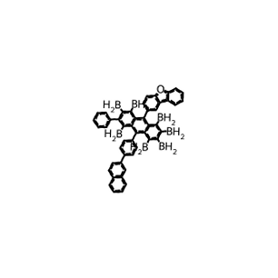 Bc1c(B)c(B)c2c(-c3ccc(-c4ccc5ccccc5c4)cc3)c3c(B)c(-c4ccccc4)c(B)c(B)c3c(-c3ccc4oc5ccccc5c4c3)c2c1B